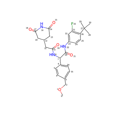 COCc1ccc(C(NC(=O)CC2CC(=O)NC(=O)C2)C(=O)Nc2ccc(C(C)(C)C)c(F)c2)cc1